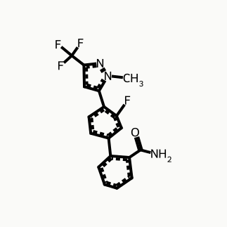 Cn1nc(C(F)(F)F)cc1-c1ccc(-c2ccccc2C(N)=O)cc1F